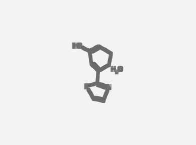 O.OC1=CCCC(c2nccs2)=C1